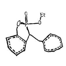 CCOP1(=O)Oc2ccccc2C1c1ccccc1